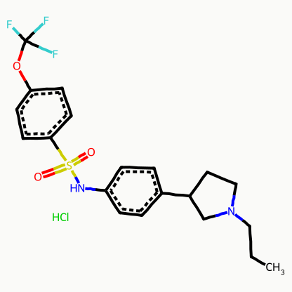 CCCN1CCC(c2ccc(NS(=O)(=O)c3ccc(OC(F)(F)F)cc3)cc2)C1.Cl